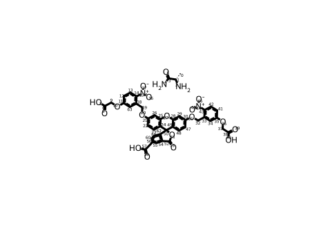 C[C@H](N)C(N)=O.O=C(O)COc1ccc([N+](=O)[O-])c(COc2ccc3c(c2)Oc2cc(OCc4cc(OCC(=O)O)ccc4[N+](=O)[O-])ccc2C32OC(=O)c3cc(C(=O)O)ccc32)c1